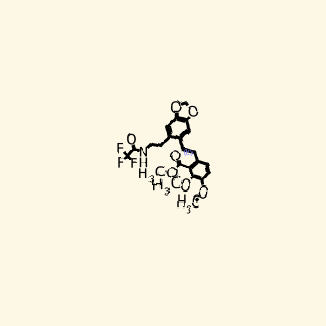 COC(=O)c1c(/C=C/c2cc3c(cc2CCNC(=O)C(F)(F)F)OCO3)ccc(OC)c1OC